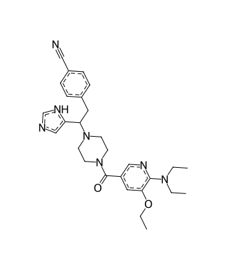 CCOc1cc(C(=O)N2CCN(C(Cc3ccc(C#N)cc3)c3cnc[nH]3)CC2)cnc1N(CC)CC